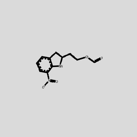 O=COCCC1Cc2cccc([N+](=O)[O-])c2N1